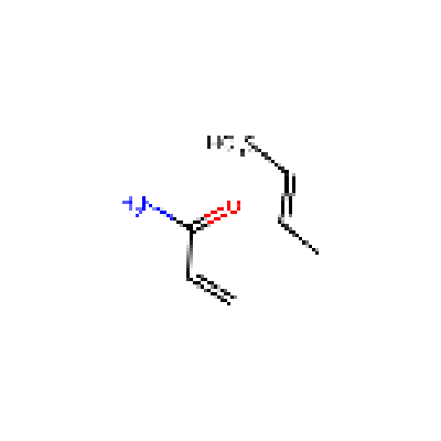 C=CC(N)=O.CC=CS(=O)(=O)O